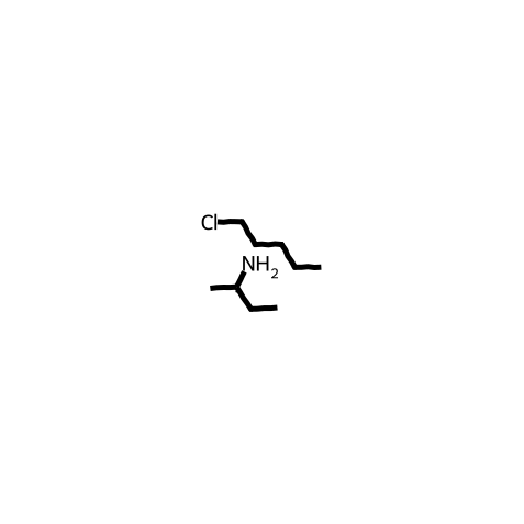 CCCCCCl.CC[C](C)N